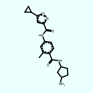 Cc1cc(NC(=O)c2cc(C3CC3)on2)ccc1C(=O)NC1CCC(N)C1